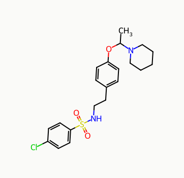 CC(Oc1ccc(CCNS(=O)(=O)c2ccc(Cl)cc2)cc1)N1CCCCC1